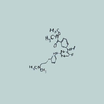 CON(C)C(=O)c1cccc(Nc2nc(Nc3cccc(CCCN(C)C)c3)ncc2F)c1